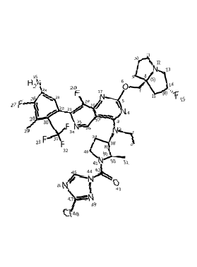 CCN(c1nc(OC[C@@]23CCCN2C[C@H](F)C3)nc2c(F)c(-c3cc(N)c(F)c(C)c3C(F)(F)F)ncc12)[C@@H]1CCN(C(=O)n2cnc(Cl)n2)[C@@H]1C